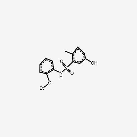 CCOc1ccccc1NS(=O)(=O)c1cc(O)ccc1C